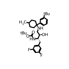 CC1CCC(NC[C@@H](O)[C@H](Cc2cc(F)cc(F)c2)NC(=O)OC(C)(C)C)(c2cccc(C(C)(C)C)c2)CC1